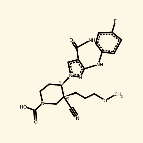 COCCC[C@@]1(C#N)CN(C(=O)O)CC[C@H]1n1cc(C(N)=O)c(Nc2ccc(F)cc2)n1